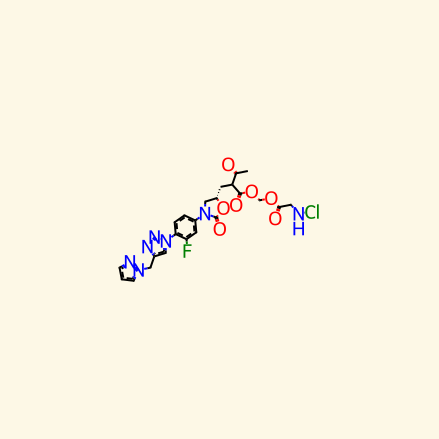 CC(=O)C(C[C@H]1CN(c2ccc(-n3cc(Cn4cccn4)nn3)c(F)c2)C(=O)O1)C(=O)OCOC(=O)CNCl